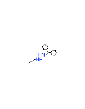 CCCCNCCNCC(c1ccccc1)c1ccccc1